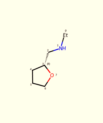 CCNC[C@H]1CCCO1